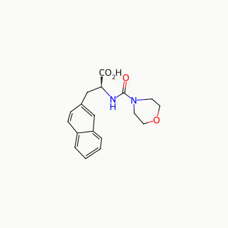 O=C(O)[C@H](Cc1ccc2ccccc2c1)NC(=O)N1CCOCC1